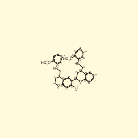 O=C(O)c1ccncc1NCC1CCOc2cc(Cl)c(C3CC(CNc4cnccc4C(=O)O)c4ccccc4O3)cc21